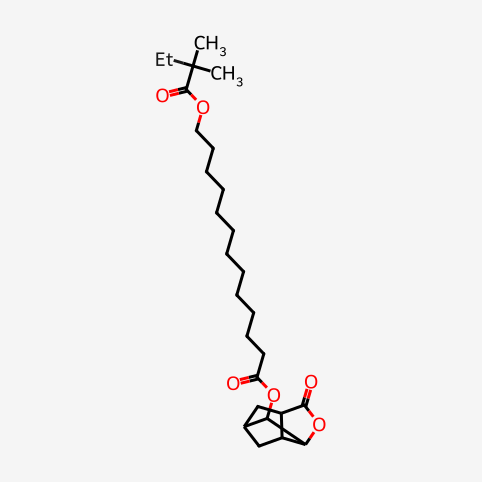 CCC(C)(C)C(=O)OCCCCCCCCCCCCC(=O)OC1C2CC3C(=O)OC1C3C2